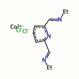 CCN=Cc1cccc(C=NCC)n1.[Cl-].[Cl-].[Co+2]